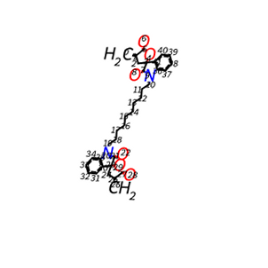 C=C1CC2(OC1=O)C(=O)N(CCCCCCCCCCN1C(=O)C3(CC(=C)C(=O)O3)c3ccccc31)c1ccccc12